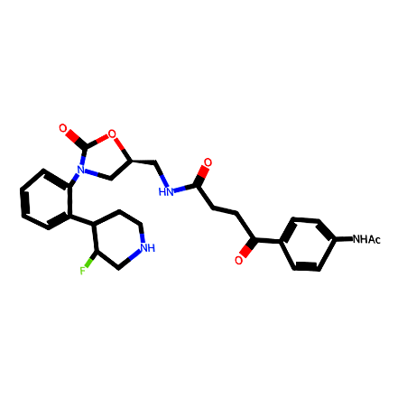 CC(=O)Nc1ccc(C(=O)CCC(=O)NC[C@H]2CN(c3ccccc3C3CCNCC3F)C(=O)O2)cc1